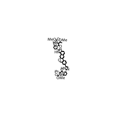 CC[C@H]1CC[C@@H](c2nc3ccc4cc5c(cc4c3[nH]2)OCc2cc(-c3cnc([C@@H]4CC[C@H](C)N4C(=O)[C@@H](NC(=O)OC)C(C)C)[nH]3)ccc2-5)N1C(=O)[C@@H](NC(=O)OC)[C@@H](C)OC